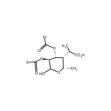 CCC(=O)O[C@@H]1[C@H](C(C)C(=O)O)[C@H](C)OC(O)[C@H]1OC(=O)CC